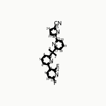 CC(C)(c1cccc(-c2ccc(F)nc2F)n1)c1cccc(-n2ccc(C#N)n2)n1